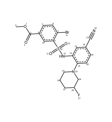 COC(=O)c1ccc(Br)c(S(=O)(=O)Nc2cc(C#N)ccc2N2CCCC(F)C2)c1